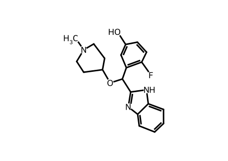 CN1CCC(OC(c2nc3ccccc3[nH]2)c2cc(O)ccc2F)CC1